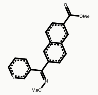 CON=C(c1cccnc1)c1ccc2cc(C(=O)OC)ccc2c1